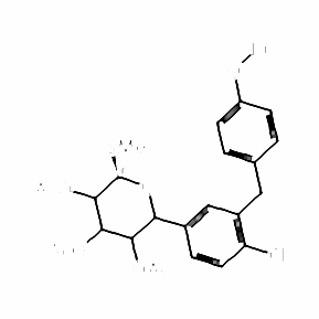 CCOc1ccc(Cc2cc(C3O[C@H](SC)C(OC(C)=O)C(OC(C)=O)C3OC(C)=O)ccc2Cl)cc1